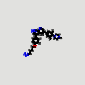 Cc1cc(-c2cnc3[nH]cc(-c4ccc(OCCCCN)cc4)c3c2)cc(C)c1N1CCN(C)CC1